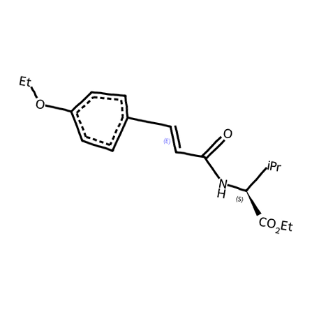 CCOC(=O)[C@@H](NC(=O)/C=C/c1ccc(OCC)cc1)C(C)C